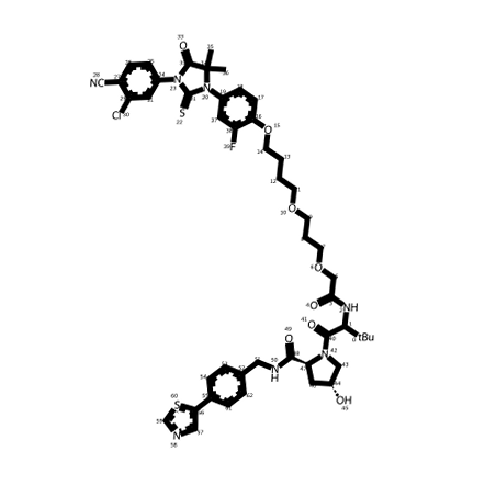 CC(C)(C)C(NC(=O)COCCCOCCCCOc1ccc(N2C(=S)N(c3ccc(C#N)c(Cl)c3)C(=O)C2(C)C)cc1F)C(=O)N1C[C@H](O)C[C@H]1C(=O)NCc1ccc(-c2cncs2)cc1